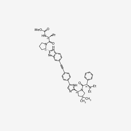 CCN(CC)[C@@H](C(=O)N1CS(C)(C)C[C@H]1c1ncc(-c2ccc(C#Cc3ccc4[nH]c([C@@H]5CCCN5C(=O)[C@@H](NC(=O)OC)C(C)C)nc4c3)cc2)[nH]1)c1ccccc1